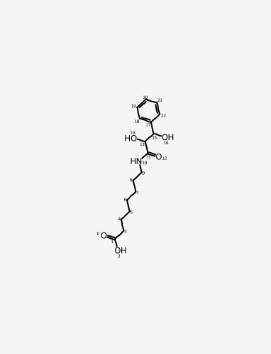 O=C(O)CCCCCCCNC(=O)C(O)C(O)c1ccccc1